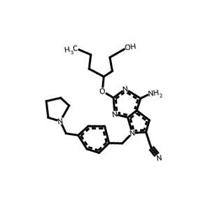 CCCC(CCO)Oc1nc(N)c2cc(C#N)n(Cc3ccc(CN4CCCC4)cc3)c2n1